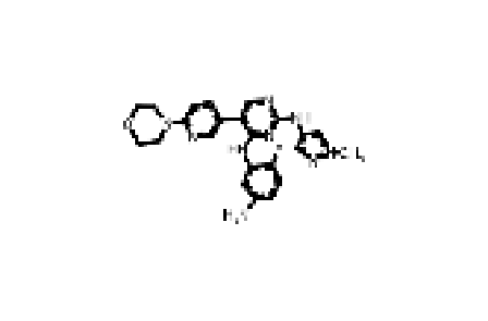 Cn1cc(Nc2ncc(-c3ccc(N4CCOCC4)nc3)c(Nc3cc(N)ccc3F)n2)cn1